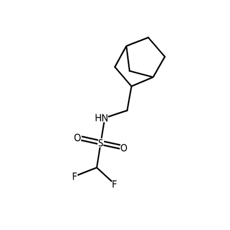 O=S(=O)(NCC1CC2CCC1C2)C(F)F